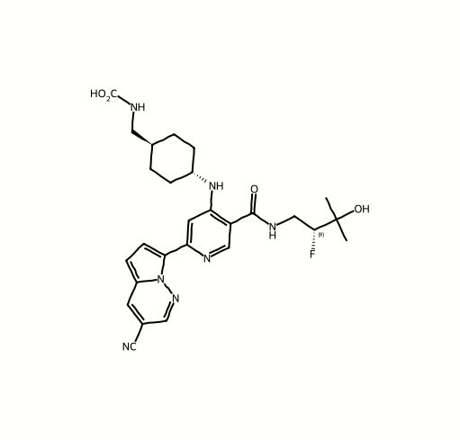 CC(C)(O)[C@H](F)CNC(=O)c1cnc(-c2ccc3cc(C#N)cnn23)cc1N[C@H]1CC[C@H](CNC(=O)O)CC1